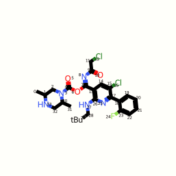 CC1CN(C(=O)OC(=NC(=O)CCl)c2cc(Cl)c(-c3ccccc3F)nc2NCC(C)(C)C)C(C)CN1